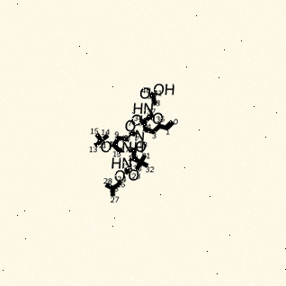 C=CCCC(NC(=O)[C@@H]1C[C@@H](OC(C)(C)C)CN1C(=O)[C@@H](NC(=O)OCC(C)C)C(C)(C)C)C(=O)C(=O)NCC(=O)O